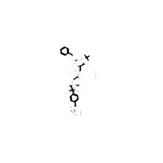 CC(C)(C)OC(=O)C(CNC(=O)CN1C(=O)NC(C)(c2ccc(C=NN)cc2)C1=O)NC(=O)OCc1ccccc1.Cl